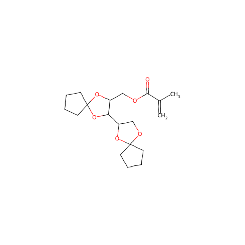 C=C(C)C(=O)OCC1OC2(CCCC2)OC1C1COC2(CCCC2)O1